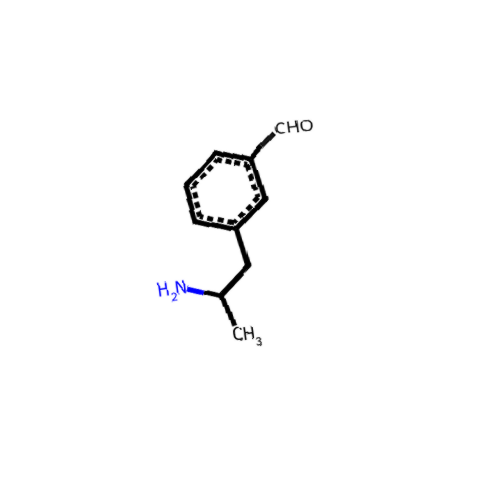 CC(N)Cc1cccc(C=O)c1